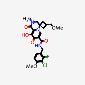 COC[C@H]1C[C@@]2(CN(C)C(=O)c3c(O)c(=O)c(C(=O)NCc4ccc(OC)c(Cl)c4F)cn32)C1